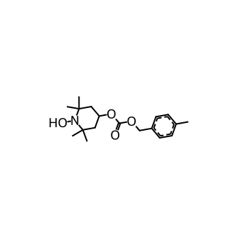 Cc1ccc(COC(=O)OC2CC(C)(C)N(O)C(C)(C)C2)cc1